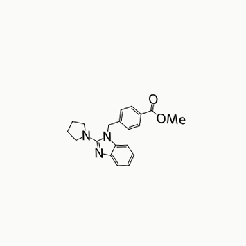 COC(=O)c1ccc(Cn2c(N3CCCC3)nc3ccccc32)cc1